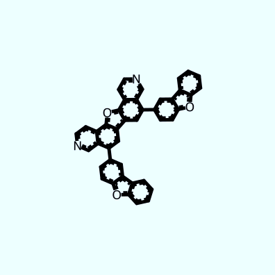 c1ccc2c(c1)oc1ccc(-c3cc4c5cc(-c6ccc7oc8ccccc8c7c6)c6cnccc6c5oc4c4ccncc34)cc12